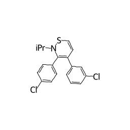 CC(C)N1SC=CC(c2cccc(Cl)c2)=C1c1ccc(Cl)cc1